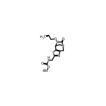 C=CCON1C(=O)N2Cc3nc(CNC(=O)OC(C)(C)C)sc3C1C2